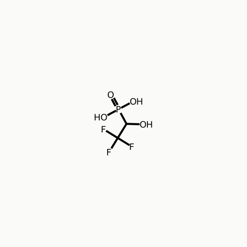 O=P(O)(O)C(O)C(F)(F)F